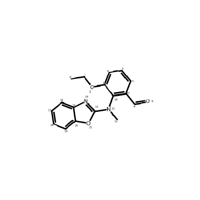 CCOc1cccc(C=O)c1N(C)c1nc2ccccc2o1